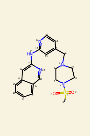 CS(=O)(=O)N1CCN(Cc2ccnc(Nc3cc4ccccc4cn3)c2)CC1